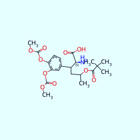 COC(=O)Oc1ccc(C(CC(C)OC(=O)C(C)(C)C)[C@H](N)C(=O)O)cc1OC(=O)OC